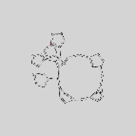 C1=Cc2cc3c(-c4ccsc4)c(-c4ccsc4)c(c(-c4ccsc4)c4nc(cc5ccc(cc1n2)[nH]5)C=C4)n3-c1ccsc1